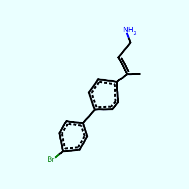 CC(=CCN)c1ccc(-c2ccc(Br)cc2)cc1